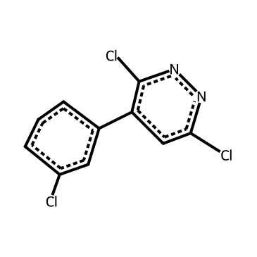 Clc1cccc(-c2cc(Cl)nnc2Cl)c1